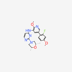 COc1ccc(-c2cnc(OC)c(Nc3ccnc(N4C[C@@H](C)O[C@@H](C)C4)n3)c2)c(F)c1